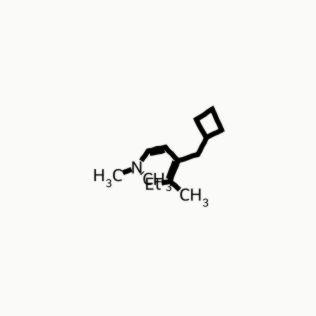 CC/C(C)=C(\C=C/N(C)C)CC1CCC1